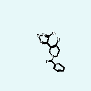 O=C(c1ccccc1)N1CCC(Cl)=C(c2nsnc2Cl)C1